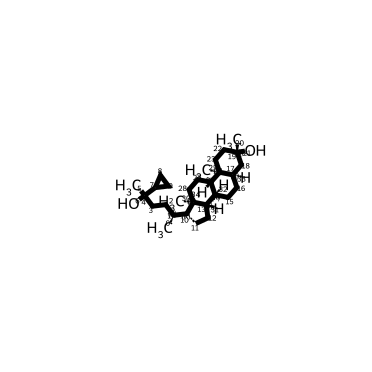 C[C@H](CCC(C)(O)C1CC1)[C@H]1CC[C@H]2[C@@H]3CC[C@@H]4C[C@@](C)(O)CC[C@]4(C)[C@H]3CC[C@]12C